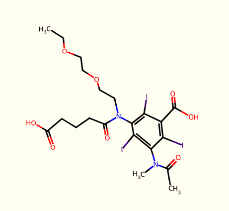 CCOCCOCCN(C(=O)CCCC(=O)O)c1c(I)c(C(=O)O)c(I)c(N(C)C(C)=O)c1I